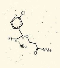 CCCC[C@H](CC)[C@@H](OCCC(=O)NC)c1cccc(Cl)c1